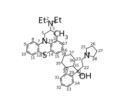 CCN(CC)C(C)CN1c2ccccc2Sc2ccccc21.OC(CCN1CCCC1)(c1ccccc1)C1CCCCC1